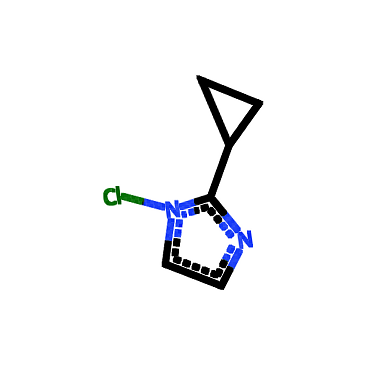 Cln1ccnc1C1CC1